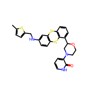 Cc1ccc(CNc2ccc3c(c2)Sc2cccc(C4CN(c5ccc[nH]c5=O)CCO4)c2S3)s1